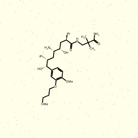 COCCCOc1cc([C@H](O)[C@@H](C[C@H](N)[C@@H](O)C[C@H](C(=O)NCC(C)(C)C(N)=O)C(C)C)C(C)C)ccc1OC